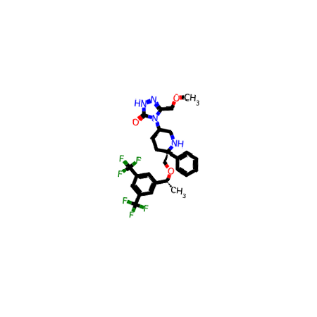 COCc1n[nH]c(=O)n1C1CC[C@@](CO[C@H](C)c2cc(C(F)(F)F)cc(C(F)(F)F)c2)(c2ccccc2)NC1